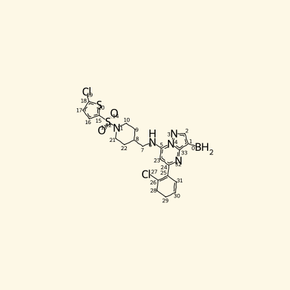 Bc1cnn2c(NCC3CCN(S(=O)(=O)c4ccc(Cl)s4)CC3)cc(C3=C(Cl)CCC=C3)nc12